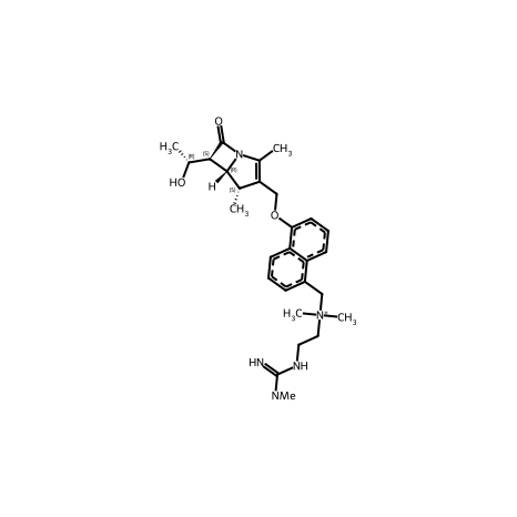 CNC(=N)NCC[N+](C)(C)Cc1cccc2c(OCC3=C(C)N4C(=O)[C@H]([C@@H](C)O)[C@H]4[C@H]3C)cccc12